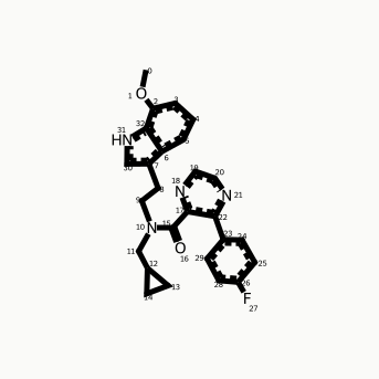 COc1cccc2c(CCN(CC3CC3)C(=O)c3nccnc3-c3ccc(F)cc3)c[nH]c12